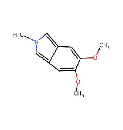 COc1cc2cn(C)cc2cc1OC